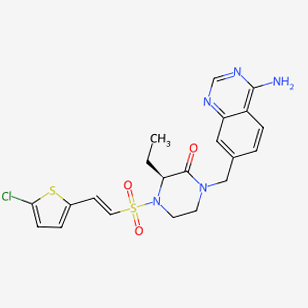 CC[C@H]1C(=O)N(Cc2ccc3c(N)ncnc3c2)CCN1S(=O)(=O)C=Cc1ccc(Cl)s1